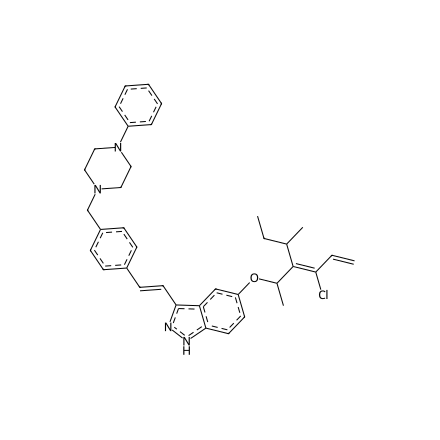 C=C/C(Cl)=C(\C(C)CC)C(C)Oc1ccc2[nH]nc(/C=C/c3ccc(CN4CCN(c5ccccc5)CC4)cc3)c2c1